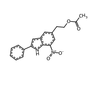 CC(=O)OCCc1cc([N+](=O)[O-])c2[nH]c(-c3ccccc3)cc2c1